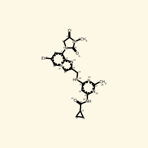 CCc1cc(N2CC(=O)N(C)C2=O)c2nc(CNc3cc(NC(=O)C4CC4)nc(C)n3)cn2c1